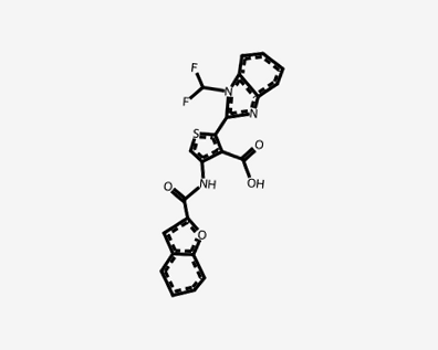 O=C(Nc1csc(-c2nc3ccccc3n2C(F)F)c1C(=O)O)c1cc2ccccc2o1